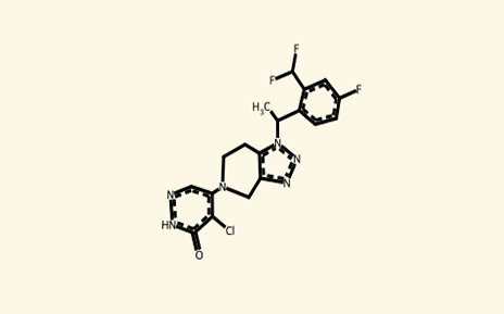 CC(c1ccc(F)cc1C(F)F)n1nnc2c1CCN(c1cn[nH]c(=O)c1Cl)C2